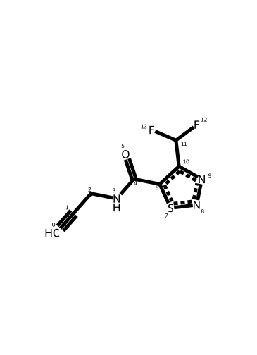 C#CCNC(=O)c1snnc1C(F)F